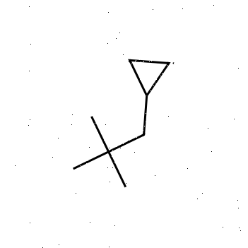 CC(C)(C)CC1[CH]C1